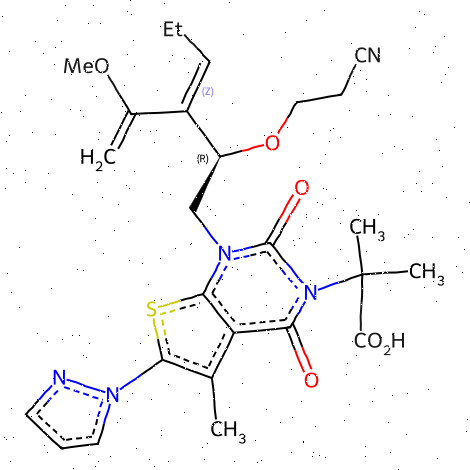 C=C(OC)/C(=C\CC)[C@H](Cn1c(=O)n(C(C)(C)C(=O)O)c(=O)c2c(C)c(-n3cccn3)sc21)OCCC#N